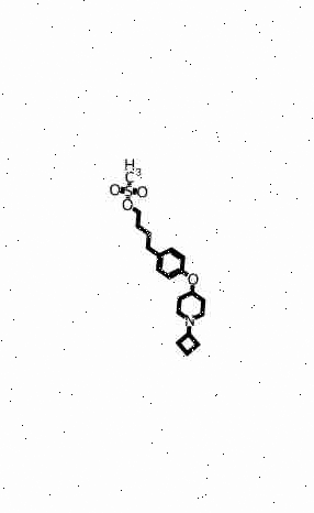 CS(=O)(=O)OCCCCc1ccc(OC2CCN(C3CCC3)CC2)cc1